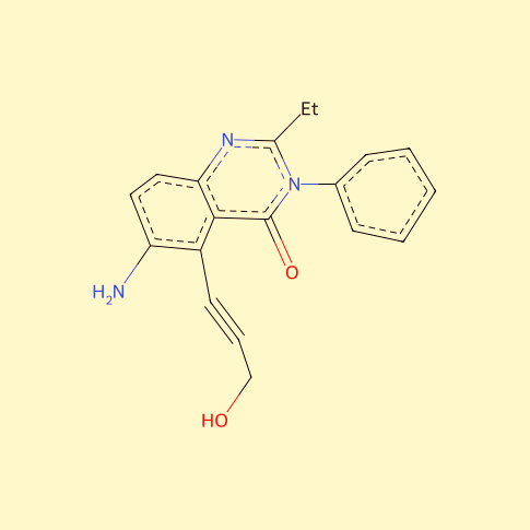 CCc1nc2ccc(N)c(C#CCO)c2c(=O)n1-c1ccccc1